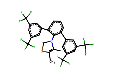 CC1=C(C)N(c2c(-c3cc(C(F)(F)F)cc(C(F)(F)F)c3)cccc2-c2cc(C(F)(F)F)cc(C(F)(F)F)c2)[C]S1